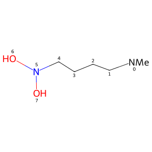 CNCCCCN(O)O